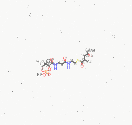 CCOP1(=O)OCC(C)(C)[C@H](C(=O)NCCC(=O)NCCSC(=O)C(CC(=O)OC)C(C)=O)O1